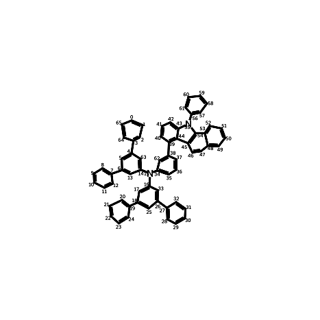 c1ccc(-c2cc(-c3ccccc3)cc(N(c3cc(-c4ccccc4)cc(-c4ccccc4)c3)c3cccc(-c4cccc5c4c4ccc6ccccc6c4n5-c4ccccc4)c3)c2)cc1